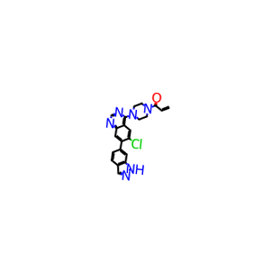 C=CC(=O)N1CCN(c2ncnc3cc(-c4ccc5cn[nH]c5c4)c(Cl)cc23)CC1